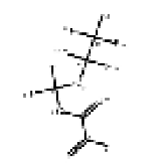 C=C(C)C(=O)OC(C)(F)OC(F)(F)C(C)(F)F